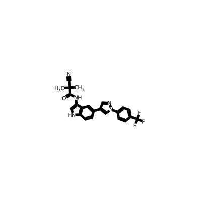 CC(C)(C#N)C(=O)Nc1c[nH]c2ccc(-c3cnn(-c4ccc(C(F)(F)F)cc4)c3)cc12